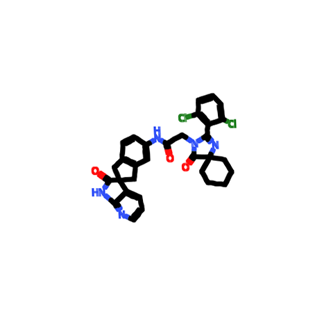 O=C(CN1C(=O)C2(CCCCC2)N=C1c1c(Cl)cccc1Cl)Nc1ccc2c(c1)CC1(C2)C(=O)Nc2ncccc21